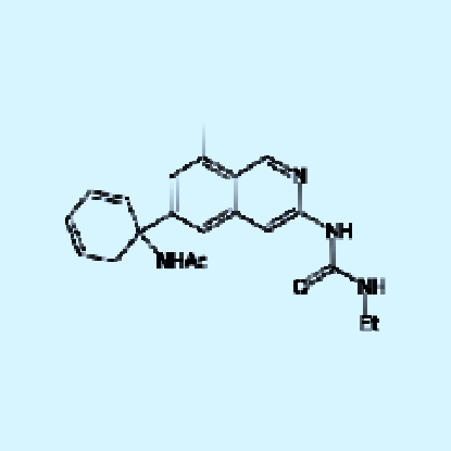 CCNC(=O)Nc1cc2cc(C3(NC(C)=O)C=CC=CC3)cc(C)c2cn1